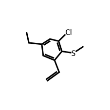 C=Cc1cc(CC)cc(Cl)c1SC